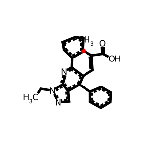 CC/C(=C\c1c(-c2ccccc2)nc2c(cnn2CC)c1-c1ccccc1)C(=O)O